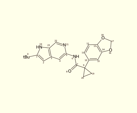 CC(C)(C)c1cc2cc(NC(=O)C3(c4ccc5c(c4)OCO5)CC3)ncc2[nH]1